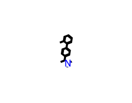 Cc1ccccc1-c1ccc(C(C)N(C)C)cc1